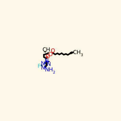 C#C[C@@]1(COC(=O)CCCCCCCC#CC)CC[C@H](n2cnc3c(N)nc(F)nc32)O1